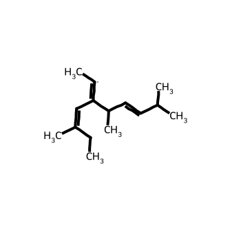 C/[C]=C(\C=C(C)CC)C(C)C=CC(C)C